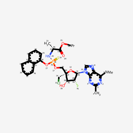 CNc1nc(C)nc2c1ncn2[C@@H]1O[C@](CCl)(CO[P@@](=S)(N[C@H](C)C(=O)OC(C)C)Oc2cccc3ccccc23)[C@@H](O)[C@H]1F